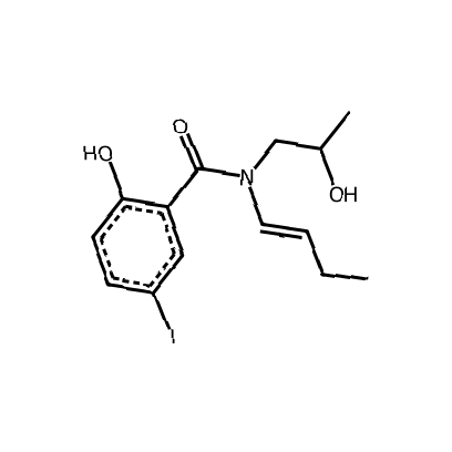 CCC=CN(CC(C)O)C(=O)c1cc(I)ccc1O